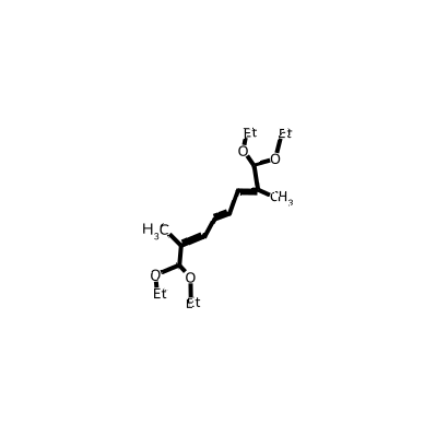 CCOC(OCC)/C(C)=C/C=C/C=C(\C)C(OCC)OCC